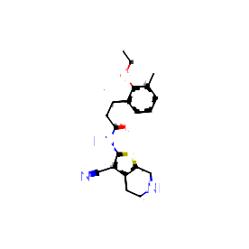 CCOc1c(C)cccc1[C@@H](C)CC(=O)Nc1sc2c(c1C#N)CCNC2